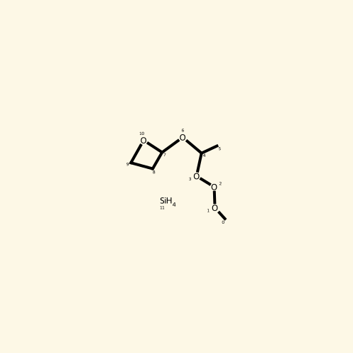 COOOC(C)OC1CCO1.[SiH4]